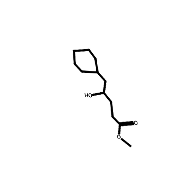 COC(=O)CCC(O)CC1CCCCC1